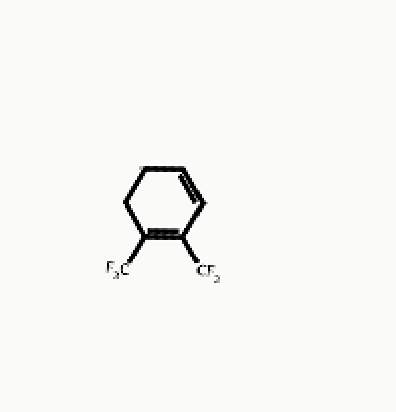 FC(F)(F)C1=C(C(F)(F)F)C[C]C=[C]1